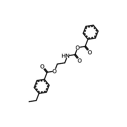 CCc1ccc(C(=O)OCCNC(=O)OC(=O)c2ccccc2)cc1